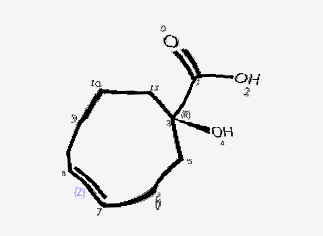 O=C(O)[C@]1(O)CC/C=C\CCC1